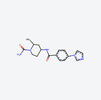 CCCCC1CC(NC(=O)c2ccc(-n3ccnc3)cc2)CCN1C(N)=O